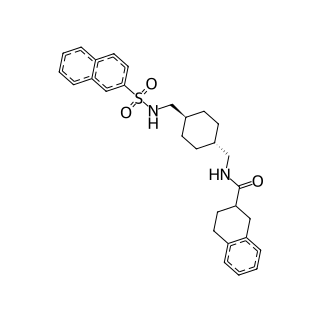 O=C(NC[C@H]1CC[C@H](CNS(=O)(=O)c2ccc3ccccc3c2)CC1)C1CCc2ccccc2C1